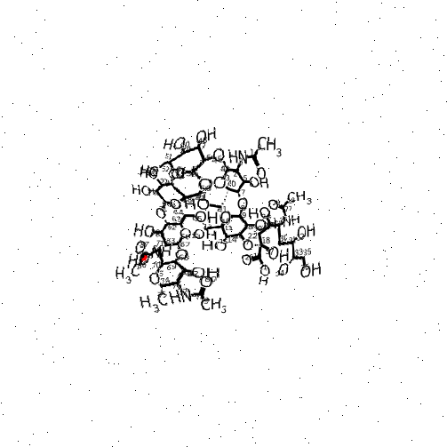 CC(=O)NC1C(O)[C@H](O[C@@H]2OC(CO)[C@H](O)C(O[C@]3(C(=O)O)C[C@@H](O)[C@@H](NC(C)=O)C([C@@H](O)[C@H](O)CO)O3)[C@@H]2O)[C@H](CO)O[C@H]1O[C@@H]1C(O)[C@H](O)C(CO)O[C@@H]1OCC1O[C@@H](O[C@@H]2C(CO)O[C@@H](O[C@@H]3C(CO)O[C@@H](C)[C@@H](NC(C)=O)C3O)[C@@H](NC(C)=O)C2O)[C@H](O)C(O)[C@@H]1O